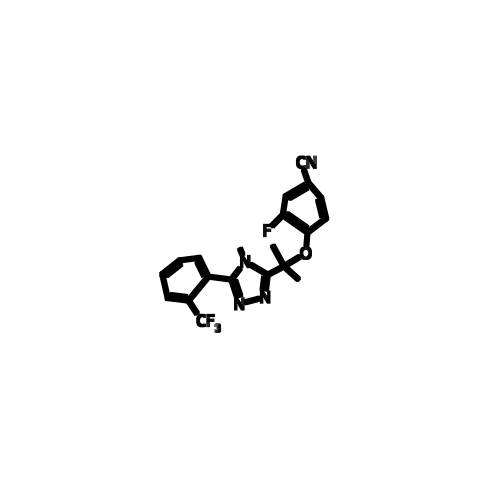 Cn1c(-c2ccccc2C(F)(F)F)nnc1C(C)(C)Oc1ccc(C#N)cc1F